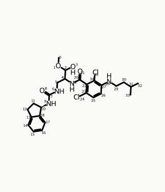 COC(O)C(CNC(=O)N[C@@H]1CCc2ccccc21)NC(=O)c1c(Cl)ccc(NCCC(C)C)c1Cl